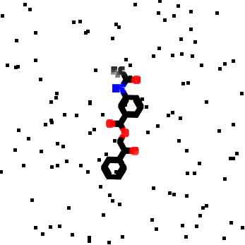 O=C(COC(=O)c1cccc(NC(=O)C(F)(F)F)c1)c1ccccc1